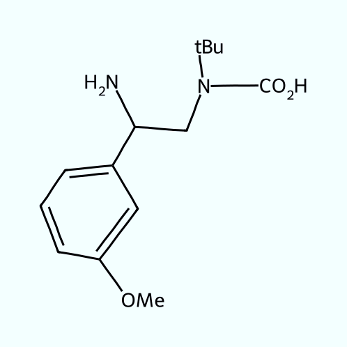 COc1cccc(C(N)CN(C(=O)O)C(C)(C)C)c1